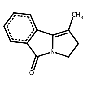 CC1=C2c3ccccc3C(=O)N2CC1